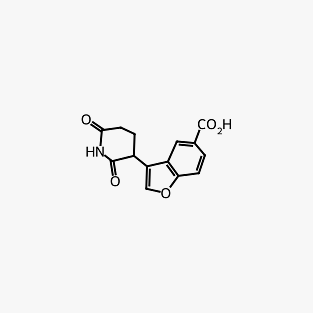 O=C1CCC(c2coc3ccc(C(=O)O)cc23)C(=O)N1